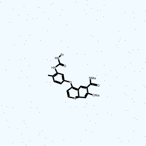 CCNC(=O)Nc1cc(Oc2ccnc3cc(OC)c(C(=O)NC)cc23)ccc1C